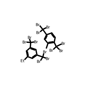 CCc1cc(C(Br)(Br)Br)cc(C(Br)(Br)Br)c1.Cc1cc(C(Br)(Br)Br)ccc1C(Br)(Br)Br